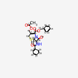 CC(=O)OCC1=C(C(=O)OCc2ccccc2)N2C(=O)C(NC(=O)c3ccccc3)[C@@H]2SC1